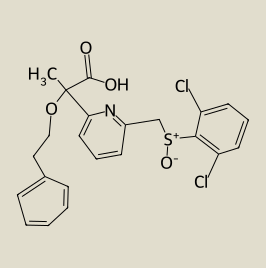 CC(OCCc1ccccc1)(C(=O)O)c1cccc(C[S+]([O-])c2c(Cl)cccc2Cl)n1